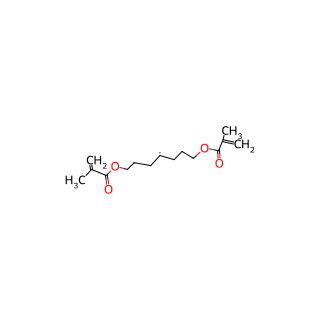 C=C(C)C(=O)OCCC[CH]CCCOC(=O)C(=C)C